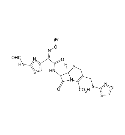 CC(C)O/N=C(\C(=O)NC1C(=O)N2C(C(=O)O)=C(CSc3nncs3)CS[C@H]12)c1csc(NC=O)n1